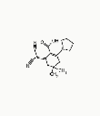 CC1(C)CC(=C(C#N)C#N)C(C(=O)O)=C(N2CCCC2)C1